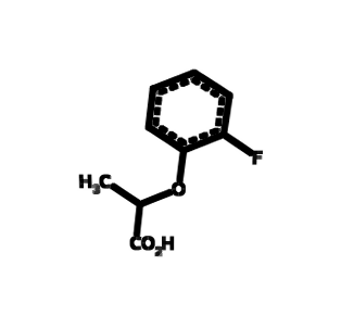 CC(Oc1ccccc1F)C(=O)O